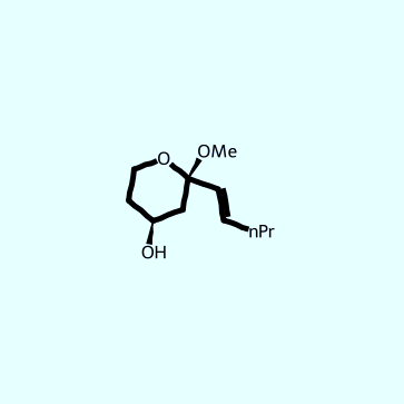 CCCC=C[C@]1(OC)C[C@@H](O)CCO1